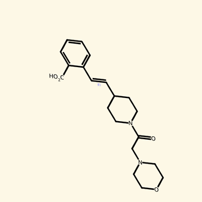 O=C(O)c1ccccc1/C=C/C1CCN(C(=O)CN2CCOCC2)CC1